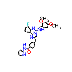 COc1ccc(CNc2nc3c(F)cccc3c3nc(Cc4ccc(C(=O)Nc5ccccn5)cc4)cn23)c(OC)c1